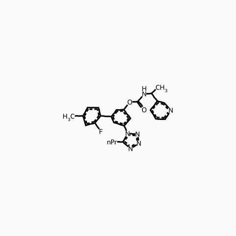 CCCc1nnnn1-c1cc(OC(=O)NC(C)c2cccnc2)cc(-c2ccc(C)cc2F)c1